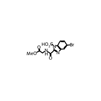 COC(=O)CNC(=O)c1nc2cc(Br)ccc2n1C(=O)O